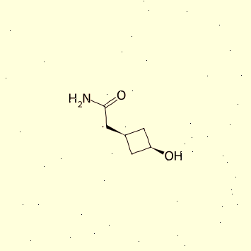 NC(=O)[CH][C@H]1C[C@@H](O)C1